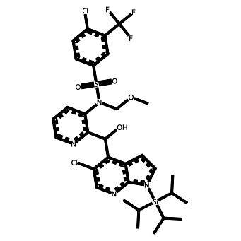 COCN(c1cccnc1C(O)c1c(Cl)cnc2c1ccn2[Si](C(C)C)(C(C)C)C(C)C)S(=O)(=O)c1ccc(Cl)c(C(F)(F)F)c1